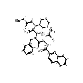 CC(C)(C)OC(=O)NN(C1CCCCC1)C(N)[C@@H](O)[C@H](Cc1ccccc1)C(=O)[C@H](CC(N)=O)NC(=O)c1ccc2ccccc2n1